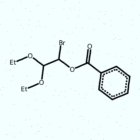 CCOC(OCC)C(Br)OC(=O)c1ccccc1